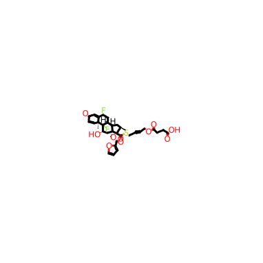 C[C@@H]1C[C@H]2[C@@H]3C[C@H](F)C4=CC(=O)C=C[C@]4(C)[C@@]3(F)[C@@H](O)C[C@]2(C)[C@@]1(OC(=O)c1ccco1)C(=O)SCC#CCOC(=O)CCC(=O)O